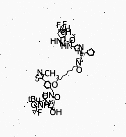 Cc1ncsc1-c1ccc(CNC(=O)[C@@H]2C[C@@H](O)CN2C(=O)C(NC(=O)C2(F)CC2)C(C)(C)C)c(OCCCCCCCC(=O)N2CC([C@@H](c3ccccc3)n3cc(NC(=O)c4n[nH]c5c4C[C@@H]4C(F)(F)[C@]4(C)C5)cn3)C2)c1